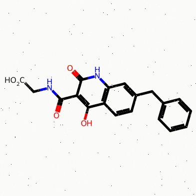 O=C(O)CNC(=O)c1c(O)c2ccc(Cc3ccccc3)cc2[nH]c1=O